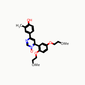 COCCOc1ccc(OCCOC)c(-c2cc(-c3ccc(O)c(C)c3)nc[n+]2[O-])c1